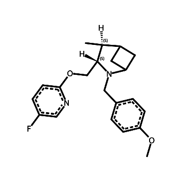 COc1ccc(CN2C3CC(C3)[C@H](C)[C@H]2COc2ccc(F)cn2)cc1